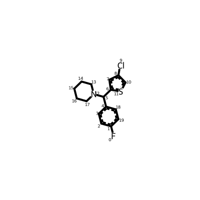 Fc1ccc(C(c2cc(Cl)cs2)N2CCCCC2)cc1